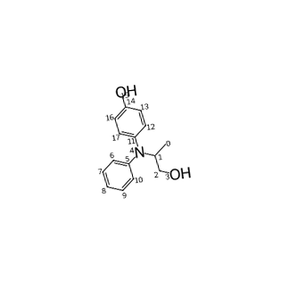 CC(CO)N(c1ccccc1)c1ccc(O)cc1